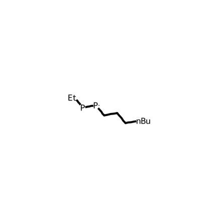 CCCCCCC[P][P]CC